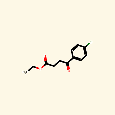 CCOC(=O)CCC(=O)c1ccc(Cl)cc1